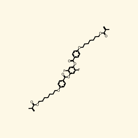 C=C(C)C(=O)OCCCCCCCOc1ccc(C(=O)Oc2cc(F)c(OC(=O)c3ccc(OCCCCCCCOC(=O)C(=C)C)cc3)cc2F)cc1